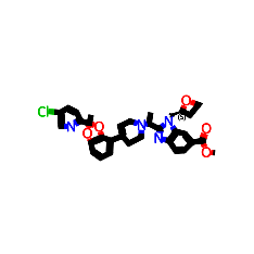 COC(=O)c1ccc2nc(C(C)N3CC=C(c4cccc5c4OC(C)(c4ccc(Cl)cn4)O5)CC3)n(C[C@@H]3CCO3)c2c1